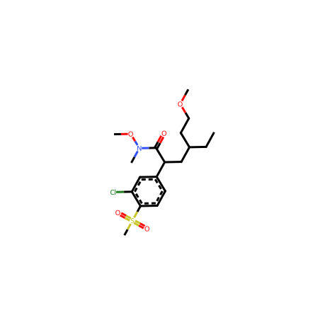 CCC(CCOC)CC(C(=O)N(C)OC)c1ccc(S(C)(=O)=O)c(Cl)c1